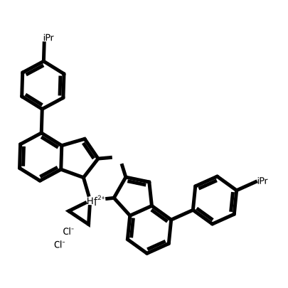 CC1=Cc2c(-c3ccc(C(C)C)cc3)cccc2[CH]1[Hf+2]1([CH]2C(C)=Cc3c(-c4ccc(C(C)C)cc4)cccc32)[CH2][CH2]1.[Cl-].[Cl-]